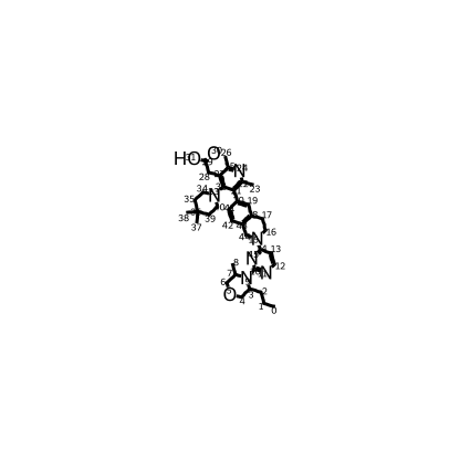 CCCC1COCC(C)N1c1nccc(N2CCc3cc(-c4c(C)nc(C)c(CC(=O)O)c4N4CCC(C)(C)CC4)ccc3C2)n1